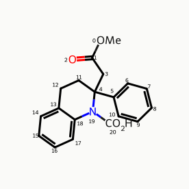 COC(=O)CC1(c2ccccc2)CCc2ccccc2N1C(=O)O